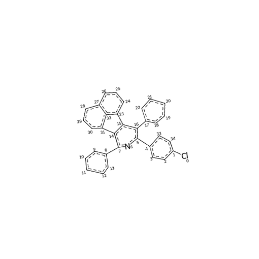 Clc1ccc(-c2nc(-c3ccccc3)c3c(c2-c2ccccc2)-c2cccc4cccc-3c24)cc1